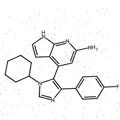 Nc1cc(-c2c(-c3ccc(F)cc3)ncn2C2CCCCC2)c2cc[nH]c2n1